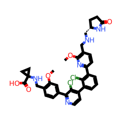 COc1cc(-c2nccc(-c3cccc(-c4ccc(CNC[C@@H]5CCC(=O)N5)c(OC)n4)c3Cl)c2Cl)ccc1CNC1(C(=O)O)CC1